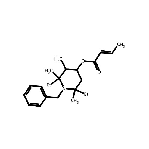 CC=CC(=O)OC1CC(C)(CC)N(Cc2ccccc2)C(C)(CC)C1C